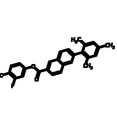 Cc1cc(C)c(-c2ccc3cc(C(=O)Oc4ccc(C)c(F)c4)ccc3c2)c(C)c1